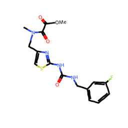 COC(=O)C(=O)N(C)Cc1csc(NC(=O)NCc2cccc(F)c2)n1